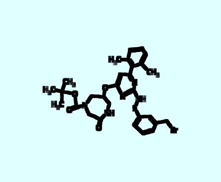 Cc1cccc(C)c1-c1cc(OC2CNC(=O)CN(C(=O)OC(C)(C)C)C2)nc(NSc2cccc(CBr)c2)n1